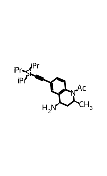 CC(=O)N1c2ccc(C#C[Si](C(C)C)(C(C)C)C(C)C)cc2[C@H](N)C[C@@H]1C